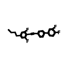 CCCCc1cc(F)c(C#Cc2ccc(-c3ccc(F)c(F)c3)cc2)c(F)c1